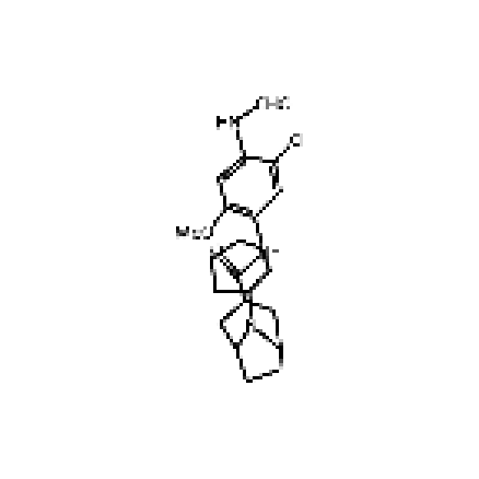 COc1cc(NC=O)c(Cl)cc1NC(=O)C1CC2CCC(C1)N2C1CCCCC1